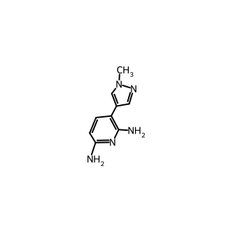 Cn1cc(-c2ccc(N)nc2N)cn1